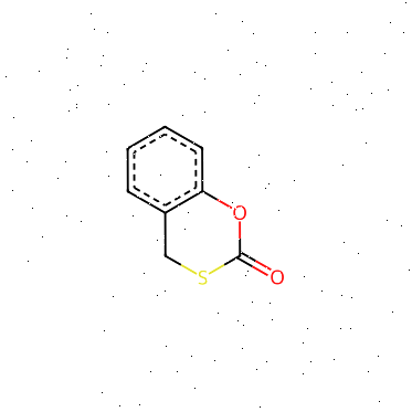 O=C1Oc2ccccc2CS1